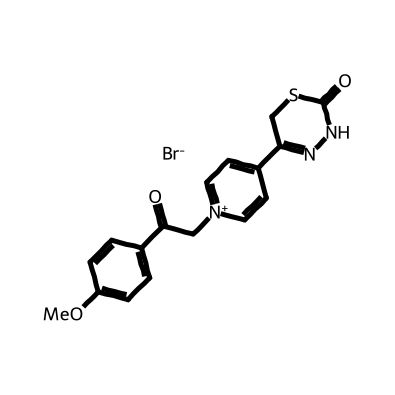 COc1ccc(C(=O)C[n+]2ccc(C3=NNC(=O)SC3)cc2)cc1.[Br-]